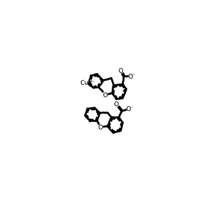 O=C([O-])c1cccc2c1Cc1ccccc1O2.O=C([O-])c1cccc2c1Cc1ccccc1O2.[Cu+2]